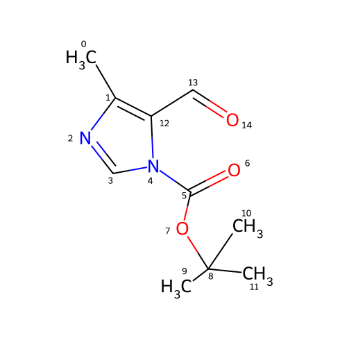 Cc1ncn(C(=O)OC(C)(C)C)c1C=O